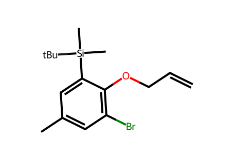 C=CCOc1c(Br)cc(C)cc1[Si](C)(C)C(C)(C)C